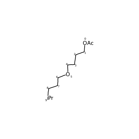 CC(=O)OCCCCOCCCC(C)C